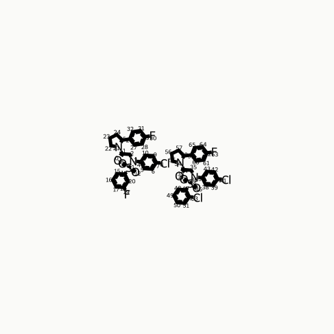 O=C(CN(c1ccc(Cl)cc1)S(=O)(=O)c1cccc(F)c1)N1CCCC1c1ccc(F)cc1.O=C(CN(c1ccc(Cl)cc1)S(=O)(=O)c1ccccc1Cl)N1CCCC1c1ccc(F)cc1